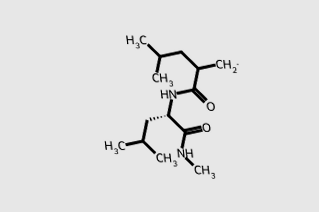 [CH2]C(CC(C)C)C(=O)N[C@@H](CC(C)C)C(=O)NC